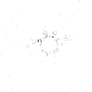 CC(=O)N[C@@H](CCCCN)C(=O)N[C@H]1CCCNC(=O)CC[C@@H](C(N)=O)NC(=O)CNC(=O)[C@H](CCCNC(=N)N)NC(=O)[C@@H](Cc2ccccc2)NC(=O)[C@H](Cc2c[nH]cn2)NC1=O